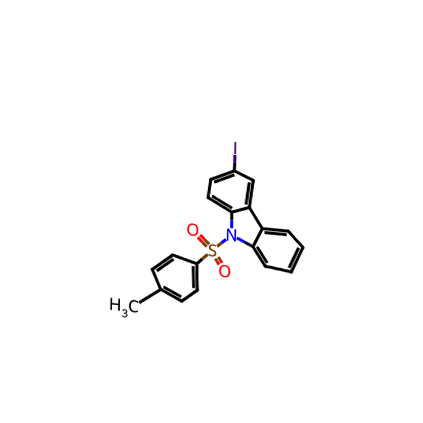 Cc1ccc(S(=O)(=O)n2c3ccccc3c3cc(I)ccc32)cc1